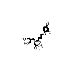 CCC(CO)CN(CC(C)C)C(=O)CCCOc1ccc(Cl)cc1Cl